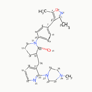 Cc1noc(C)c1-c1ccc(N2CCCC(Cc3cccnc3N3CCN(C)CC3)C2=O)cc1